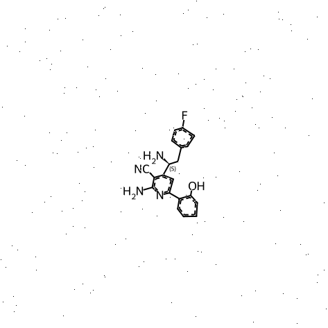 N#Cc1c([C@@H](N)Cc2ccc(F)cc2)cc(-c2ccccc2O)nc1N